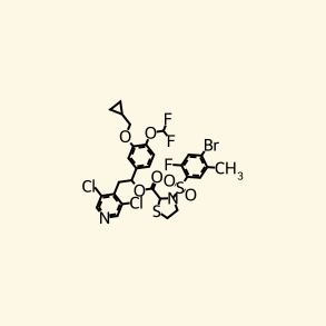 Cc1cc(S(=O)(=O)N2CCSC2C(=O)OC(Cc2c(Cl)cncc2Cl)c2ccc(OC(F)F)c(OCC3CC3)c2)c(F)cc1Br